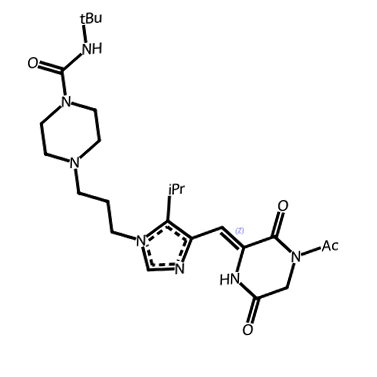 CC(=O)N1CC(=O)N/C(=C\c2ncn(CCCN3CCN(C(=O)NC(C)(C)C)CC3)c2C(C)C)C1=O